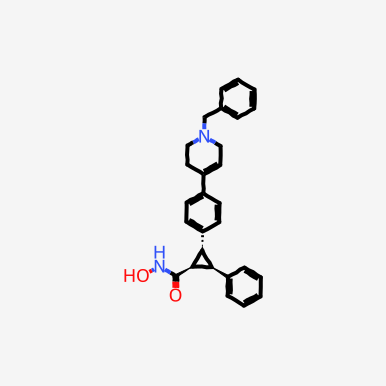 O=C(NO)[C@@H]1[C@H](c2ccccc2)[C@H]1c1ccc(C2=CCN(Cc3ccccc3)CC2)cc1